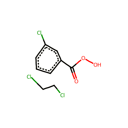 ClCCCl.O=C(OO)c1cccc(Cl)c1